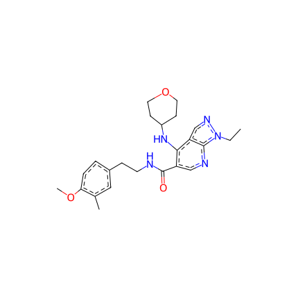 CCn1ncc2c(NC3CCOCC3)c(C(=O)NCCc3ccc(OC)c(C)c3)cnc21